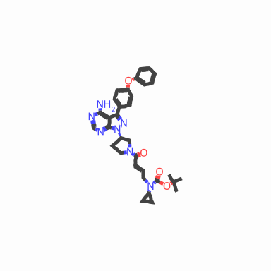 CC(C)(C)OC(=O)N(C/C=C/C(=O)N1CC[C@@H](n2nc(-c3ccc(Oc4ccccc4)cc3)c3c(N)ncnc32)C1)C1CC1